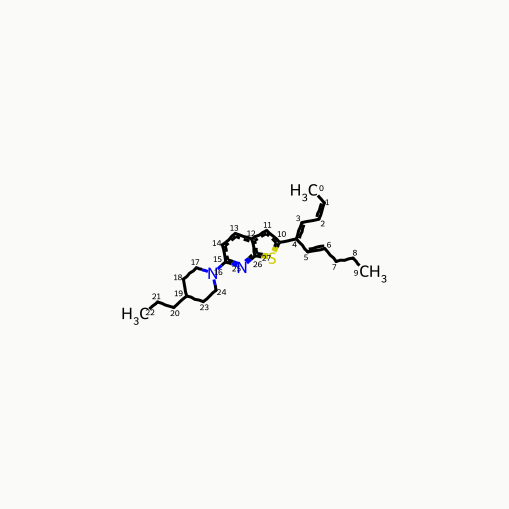 C\C=C/C=C(\C=C\CCC)c1cc2ccc(N3CCC(CCC)CC3)nc2s1